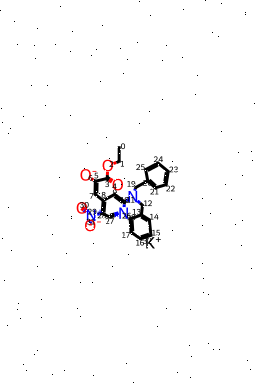 CCOC(=O)/C([O-])=C\c1cc(N(Cc2ccccc2)Cc2ccccc2)ncc1[N+](=O)[O-].[K+]